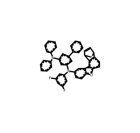 Fc1cc(F)cc(N(c2cc(-c3ccccc3)cc(N(c3ccccc3)c3ccccc3)c2)c2ccc3oc4ccc5c(c4c3c2)C2C=CC5S2)c1